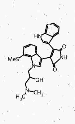 CSc1cccc2c(C3=C(c4c[nH]c5ccccc45)C(=O)NC3=O)cn(CC(O)CN(C)C)c12